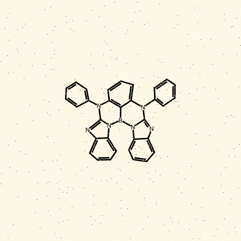 c1ccc(N2c3cccc4c3B(n3c2nc2ccccc23)n2c(nc3ccccc32)N4c2ccccc2)cc1